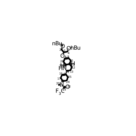 CCCCOCC(COCCCC)OC1=CC[C@H]2CC[C@@H](C3=CC[C@H](N(C)C(=O)C(F)(F)F)CC3)N[C@H]2C1